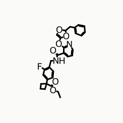 CCOC(=O)C1(c2ccc(CNC(=O)c3cccnc3OC3=COC(Cc4ccccc4)O3)c(F)c2)CCC1